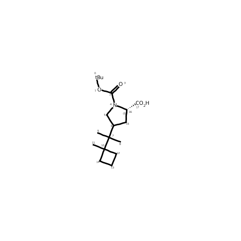 CC(C)(C)OC(=O)N1CC(C(C)(C)C2(C)CCC2)C[C@H]1C(=O)O